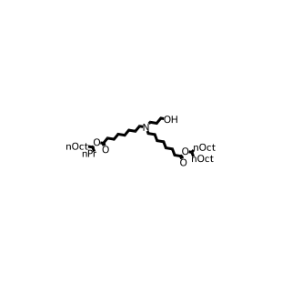 CCCCCCCCC(CCC)OC(=O)CCCCCCCN(CCCO)CCCCCCCC(=O)OC(CCCCCCCC)CCCCCCCC